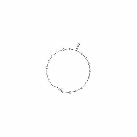 O=C1CCCCCCCCC/C=C/CCCCCCCCC1